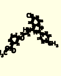 COC(=O)c1cccc(OCCNc2nc(N3CCN(C)CC3)nc3ccc(Cl)cc23)c1